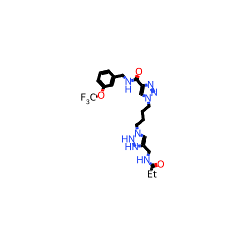 CCC(=O)NCC1=CN(CCCCn2cc(C(=O)NCc3cccc(OC(F)(F)F)c3)nn2)NN1